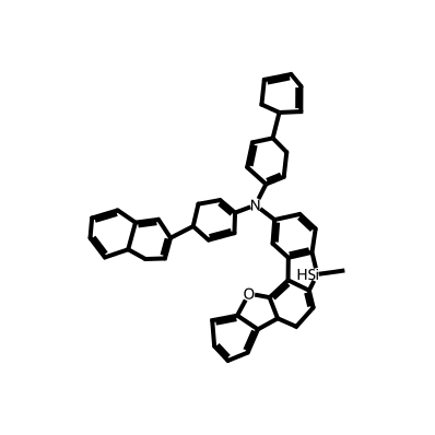 C[SiH]1C2=CCC3C(=C2c2cc(N(C4=CCC(C5=CCC6C=CC=CC6=C5)C=C4)C4=CCC(C5C=CC=CC5)C=C4)ccc21)Oc1ccccc13